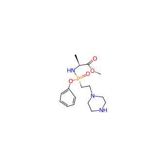 COC(=O)[C@H](C)NP(=O)(CCN1CCNCC1)Oc1ccccc1